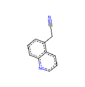 N#CCc1cccc2ncccc12